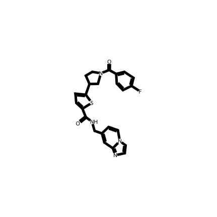 O=C(NCc1ccn2ccnc2c1)c1ccc(C2CCN(C(=O)c3ccc(F)cc3)C2)s1